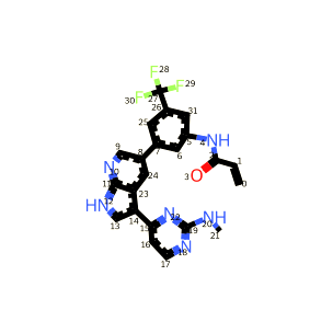 C=CC(=O)Nc1cc(-c2cnc3[nH]cc(-c4ccnc(NC)n4)c3c2)cc(C(F)(F)F)c1